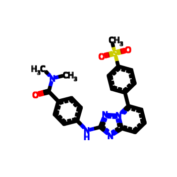 CN(C)C(=O)c1ccc(Nc2nc3cccc(-c4ccc(S(C)(=O)=O)cc4)n3n2)cc1